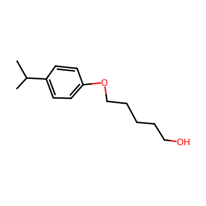 CC(C)c1ccc(OCCCCCO)cc1